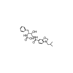 CC(C)CN1COc2cc(C(=O)NC[C@H](O)[C@H](Cc3ccccc3)NC(=O)O)ccc21